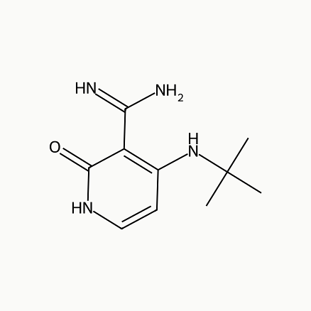 CC(C)(C)Nc1cc[nH]c(=O)c1C(=N)N